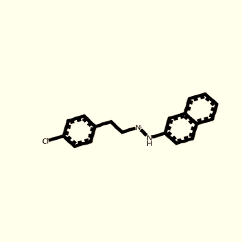 Clc1ccc(CC[N]Nc2ccc3ccccc3c2)cc1